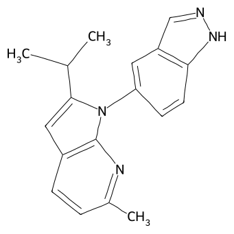 Cc1ccc2cc(C(C)C)n(-c3ccc4[nH]ncc4c3)c2n1